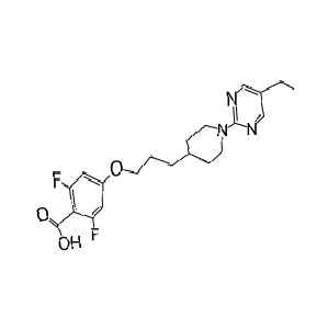 CCc1cnc(N2CCC(CCCOc3cc(F)c(C(=O)O)c(F)c3)CC2)nc1